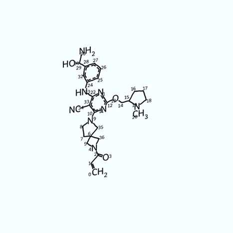 C=CC(=O)N1CC2(CCN(c3nc(OCC4CCCN4C)nc(Nc4cccc(C(N)O)c4)c3C#N)C2)C1